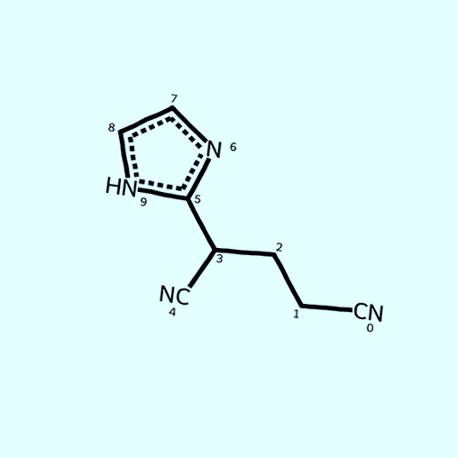 N#CCCC(C#N)c1ncc[nH]1